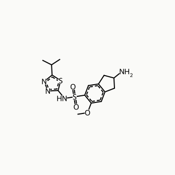 COc1cc2c(cc1S(=O)(=O)Nc1nnc(C(C)C)s1)CC(N)C2